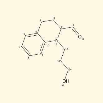 O=CC1CCc2ccccc2N1CCCO